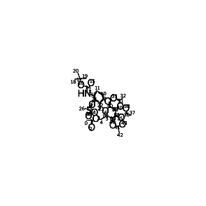 CC(=O)OC[C@H]1O[C@@H](Oc2ccc(NC(=O)OC(C)(C)C)cc2COS(C)(=O)=O)[C@H](OC(C)=O)[C@@H](OC(C)=O)[C@H]1OC(C)=O